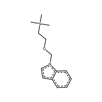 C[Si](C)(C)CCOCn1ccc2ccccc21